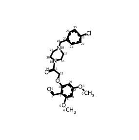 COc1cc(OC)c(C=O)c(OCC(=O)N2CCN(Cc3ccc(Cl)cc3)CC2)c1